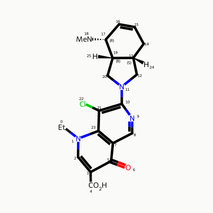 CCn1cc(C(=O)O)c(=O)c2cnc(N3C[C@H]4CC=C[C@@H](NC)[C@H]4C3)c(Cl)c21